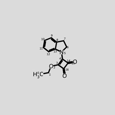 CCOc1c(N2CCc3ccccc32)c(=O)c1=O